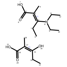 CC/C(=C(/C)C(=O)O)N(CC)CC.CC/C(O)=C(/C)C(=O)O